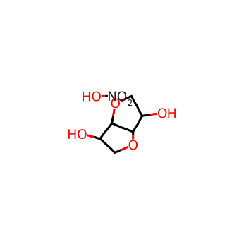 O=[N+]([O-])O.OC1COC2C(O)COC12